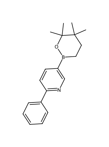 CC1(C)CCB(c2ccc(-c3ccccc3)nc2)OC1(C)C